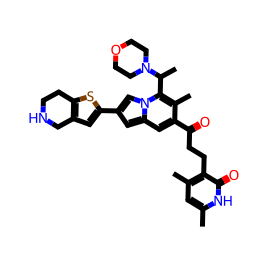 Cc1cc(C)c(CCC(=O)c2cc3cc(-c4cc5c(s4)CCNC5)cn3c(C(C)N3CCOCC3)c2C)c(=O)[nH]1